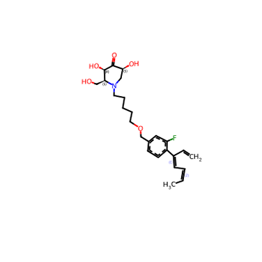 C=C/C(=C\C=C/C)c1ccc(COCCCCCN2C[C@H](O)C(=O)[C@H](O)[C@@H]2CO)cc1F